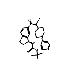 CN(C(=O)c1ccc2c(c1)C(NC(=O)OC(C)(C)C)CC2)C1CCN(c2ccncc2)CC1